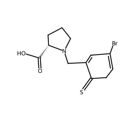 O=C(O)[C@@H]1CCCN1CC1=CC(Br)=CCC1=S